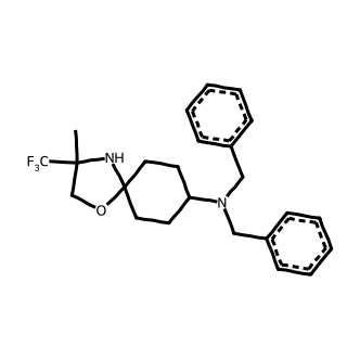 CC1(C(F)(F)F)COC2(CCC(N(Cc3ccccc3)Cc3ccccc3)CC2)N1